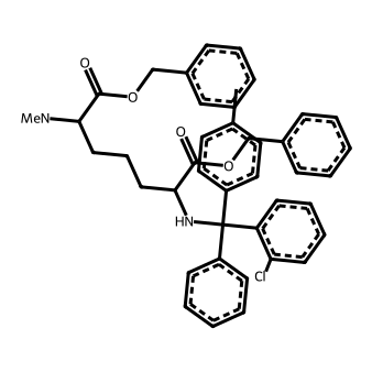 CNC(CCCC(NC(c1ccccc1)(c1ccc(C)cc1)c1ccccc1Cl)C(=O)OCc1ccccc1)C(=O)OCc1ccccc1